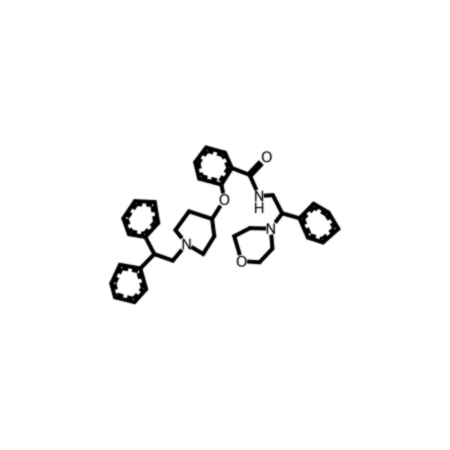 O=C(NCC(c1ccccc1)N1CCOCC1)c1ccccc1OC1CCN(CC(c2ccccc2)c2ccccc2)CC1